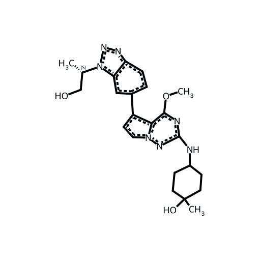 COc1nc(NC2CCC(C)(O)CC2)nn2ccc(-c3ccc4nnn([C@@H](C)CO)c4c3)c12